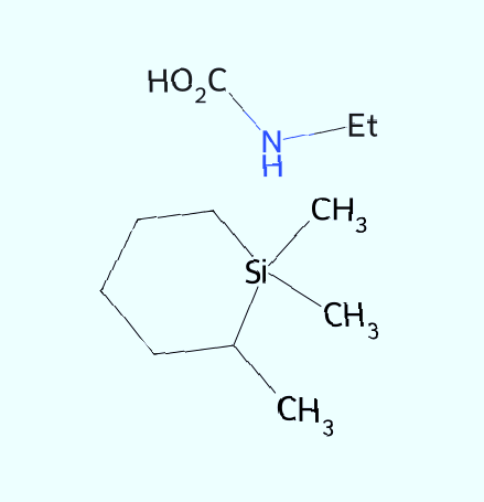 CC1CCCC[Si]1(C)C.CCNC(=O)O